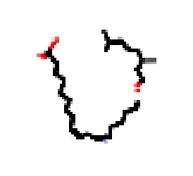 CC(C)=CCCC(C)CC=O.CCCCC/C=C\C/C=C\CCCCCCCC(=O)O